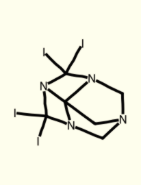 IC1(I)N2CN3CN(C2)C(I)(I)N1C3